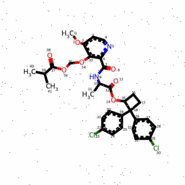 COc1ccnc(C(=O)NC(C)C(=O)OC2CCC2(c2ccc(Cl)cc2)c2ccc(Cl)cc2)c1OCOC(=O)C(C)C